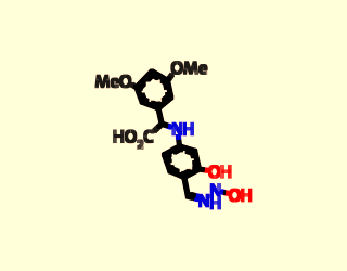 COc1cc(OC)cc(C(Nc2ccc(/C=N\NO)c(O)c2)C(=O)O)c1